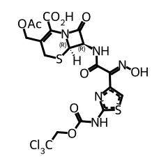 CC(=O)OCC1=C(C(=O)O)N2C(=O)[C@@H](NC(=O)C(=NO)c3csc(NC(=O)OCC(Cl)(Cl)Cl)n3)[C@H]2SC1